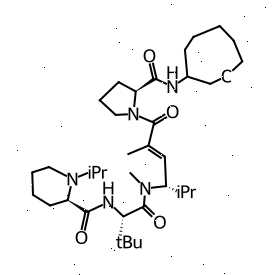 C/C(=C\[C@H](C(C)C)N(C)C(=O)[C@@H](NC(=O)[C@H]1CCCCN1C(C)C)C(C)(C)C)C(=O)N1CCC[C@H]1C(=O)NC1CCCCCCC1